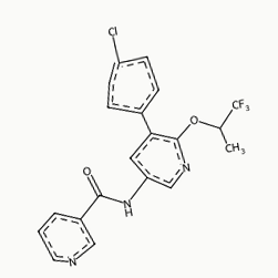 CC(Oc1ncc(NC(=O)c2cccnc2)cc1-c1ccc(Cl)cc1)C(F)(F)F